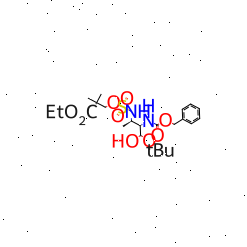 CCOC(=O)C(C)(C)COS(=O)(=O)N[C@H](C)[C@H](NC(=O)OCc1ccccc1)C(O)OC(C)(C)C